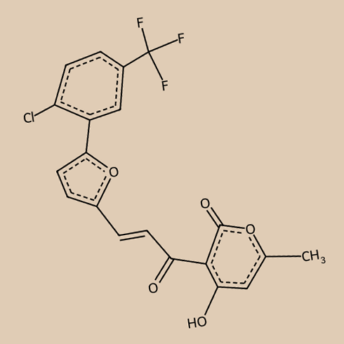 Cc1cc(O)c(C(=O)C=Cc2ccc(-c3cc(C(F)(F)F)ccc3Cl)o2)c(=O)o1